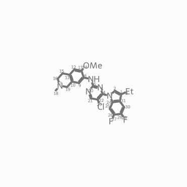 CCc1cn(-c2nc(Nc3cc4c(cc3OC)CCN(C)C4)ncc2Cl)c2cc(F)c(F)cc12